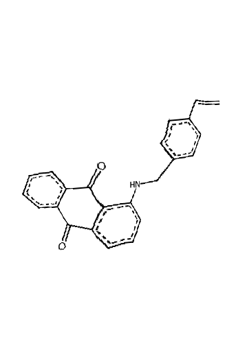 C=Cc1ccc(CNc2cccc3c2C(=O)c2ccccc2C3=O)cc1